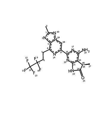 Cc1nc2c(CCC(F)(F)C(F)(F)F)nc(-c3nc(N)c4c(n3)NC(=O)[C@@H]4C)cn2n1